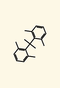 Cc1cccc(C)c1C(C)(C)c1c(C)cccc1C